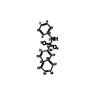 O=S(=O)(Nc1ccccc1)c1ccc2ccccc2c1